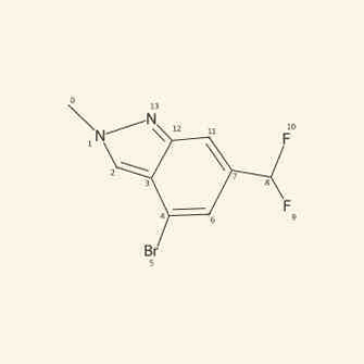 Cn1cc2c(Br)cc(C(F)F)cc2n1